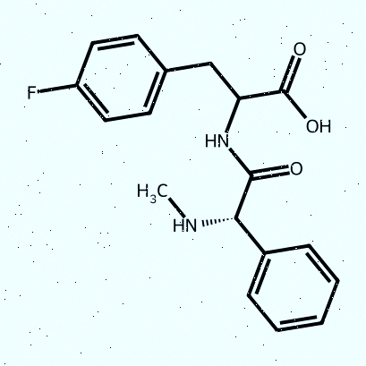 CN[C@H](C(=O)NC(Cc1ccc(F)cc1)C(=O)O)c1ccccc1